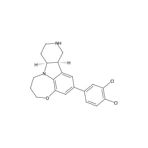 Clc1ccc(-c2cc3c4c(c2)[C@@H]2CNCC[C@@H]2N4CCCO3)cc1Cl